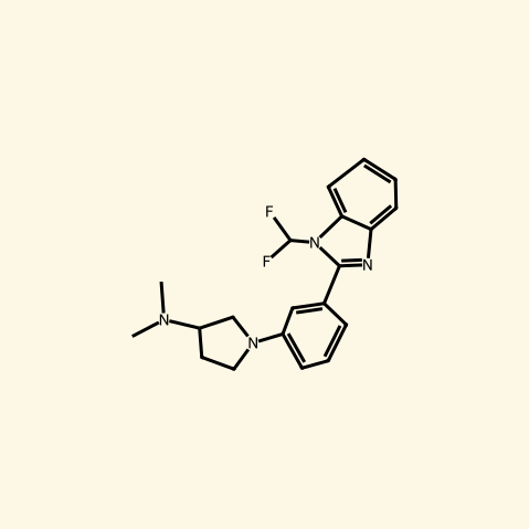 CN(C)C1CCN(c2cccc(-c3nc4ccccc4n3C(F)F)c2)C1